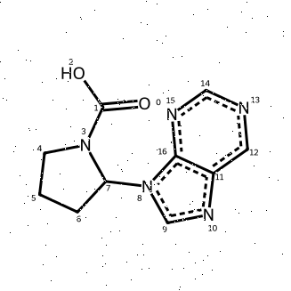 O=C(O)N1CCCC1n1cnc2cncnc21